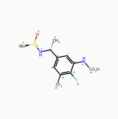 C[C@@H](N[S@+]([O-])C(C)(C)C)c1cc(NC(=O)O)c(F)c(C(F)(F)F)c1